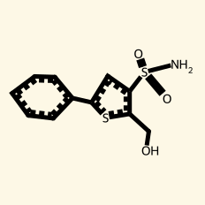 NS(=O)(=O)c1cc(-c2ccccc2)sc1CO